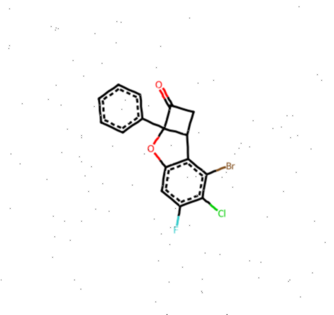 O=C1CC2c3c(cc(F)c(Cl)c3Br)OC12c1ccccc1